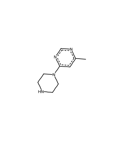 Cc1cc(N2CCNCC2)ncn1